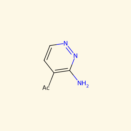 CC(=O)c1ccnnc1N